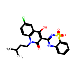 CC(C)CCn1c(=O)c(C2=NS(=O)(=O)c3ccccc3N2)c(O)c2cc(Cl)ccc21